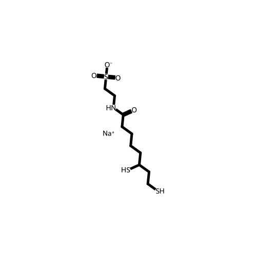 O=C(CCCCC(S)CCS)NCCS(=O)(=O)[O-].[Na+]